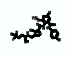 COc1cc(Cl)cc(C(=O)Nc2ccc(Cl)cn2)c1NC(=O)c1scc(CNC(=N)CCC(F)(F)F)c1Cl